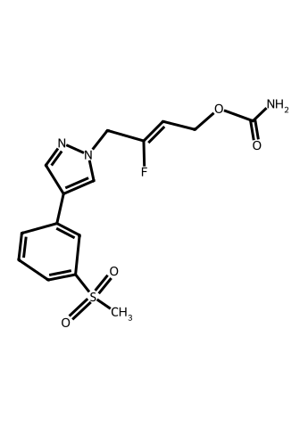 CS(=O)(=O)c1cccc(-c2cnn(CC(F)=CCOC(N)=O)c2)c1